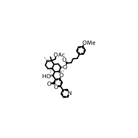 COc1ccc(CCCC(=O)O[C@H]2CC3C(C)(COC(C)=O)[C@@H](C)CC[C@]3(C)C3[C@@H](O)c4c(cc(-c5cccnc5)oc4=O)O[C@@]32C)cc1